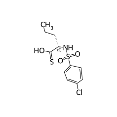 CCC[C@H](NS(=O)(=O)c1ccc(Cl)cc1)C(O)=S